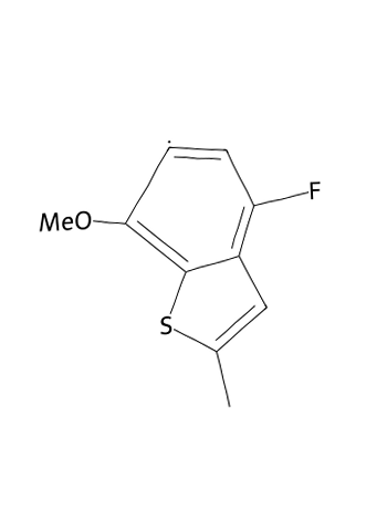 COc1[c]cc(F)c2cc(C)sc12